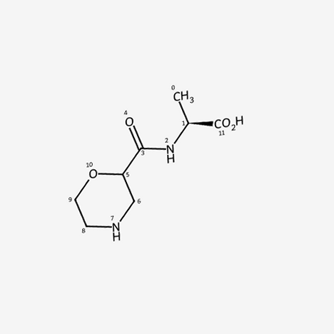 C[C@H](NC(=O)C1CNCCO1)C(=O)O